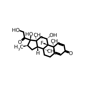 C[C@@H]1C[C@H]2[C@]3(C)CCC4=CC(=O)C=C[C@]4(C)[C@@]3(F)[C@@H](O)C[C@]2(C)[C@@]1(O)C(=O)CO